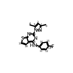 Cc1cc(C)n(-c2nc(Nc3ccc(F)cc3)c3ccsc3n2)n1